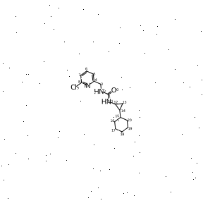 O=C(NCc1cccc(Cl)n1)NC1CC1C1CCCCC1